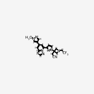 Cn1cc(-c2cc(-c3ccn(C4(CC#N)CN(CC(F)(F)F)C4)n3)n3ncnc3c2)cn1